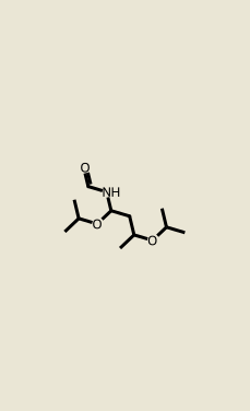 CC(C)OC(C)CC(NC=O)OC(C)C